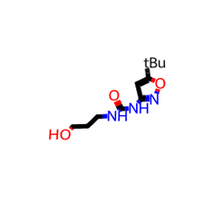 CC(C)(C)c1cc(NC(=O)NCCCO)no1